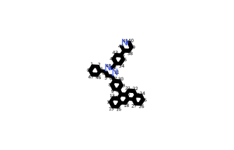 c1ccc(-c2cc(-c3ccc(-c4c5ccccc5cc5c4ccc4ccccc45)cc3)nc(-c3ccc(-c4cccnc4)cc3)n2)cc1